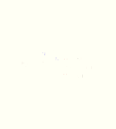 C=Cc1cn(OC(=O)C(C)(C)C)cn1